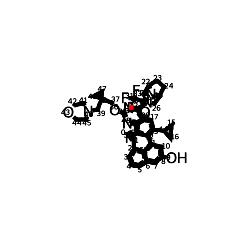 C#Cc1cccc2cc(O)cc(-c3c(C4CC4)cc4c(N5CC6CCC(C5)N6C(=O)C(F)(F)F)nc(OCC5(CN6CCOCC6)CC5)nc4c3F)c12